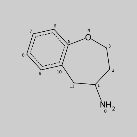 NC1CCOc2ccccc2C1